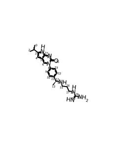 CC(C)c1cc2cn(-c3ccc([C@H](C)NCCCNC(=N)N)cc3)c(=O)nc2[nH]1